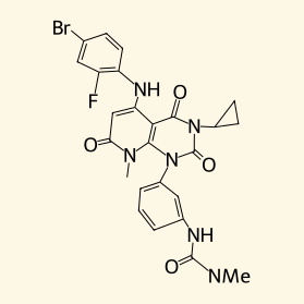 CNC(=O)Nc1cccc(-n2c(=O)n(C3CC3)c(=O)c3c(Nc4ccc(Br)cc4F)cc(=O)n(C)c32)c1